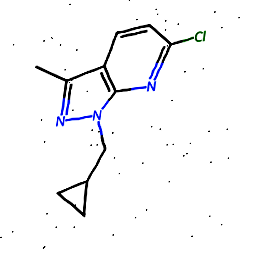 Cc1nn(CC2CC2)c2nc(Cl)ccc12